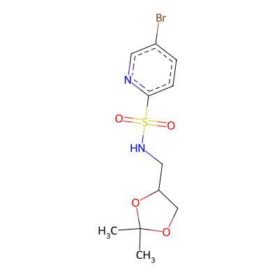 CC1(C)OCC(CNS(=O)(=O)c2ccc(Br)cn2)O1